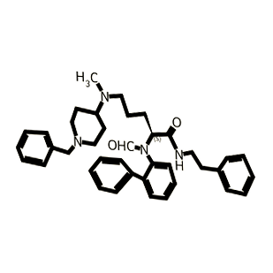 CN(CCC[C@@H](C(=O)NCCc1ccccc1)N(C=O)c1ccccc1-c1ccccc1)C1CCN(Cc2ccccc2)CC1